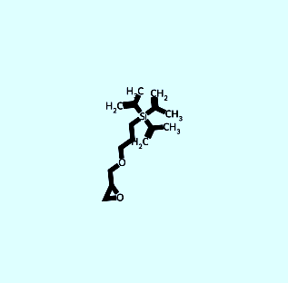 C=C(C)[Si](CCCOCC1CO1)(C(=C)C)C(=C)C